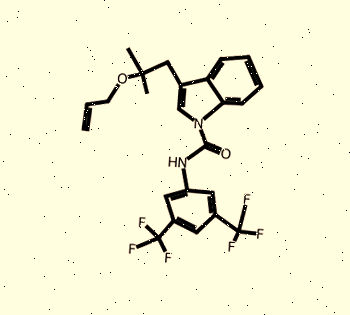 C=CCOC(C)(C)Cc1cn(C(=O)Nc2cc(C(F)(F)F)cc(C(F)(F)F)c2)c2ccccc12